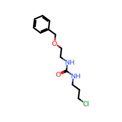 O=C(NCCCCl)NCCOCc1ccccc1